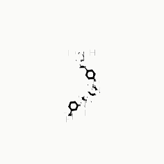 CN(C)c1ncc(-c2ccc(Oc3ncc(NC(=O)Nc4cccc(C(F)(F)F)c4)cn3)cc2)s1